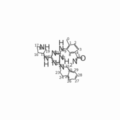 Cc1ccc(C(N)=O)cc1Nc1nc(N[C@@H]2CCNC2)nc(N2CCc3ccccc3C2)n1